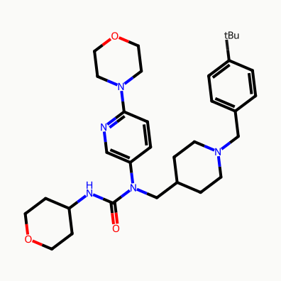 CC(C)(C)c1ccc(CN2CCC(CN(C(=O)NC3CCOCC3)c3ccc(N4CCOCC4)nc3)CC2)cc1